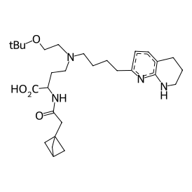 CC(C)(C)OCCN(CCCCc1ccc2c(n1)NCCC2)CCC(NC(=O)CC12CC(C1)C2)C(=O)O